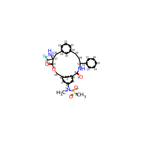 CN(c1cc2cc(c1)C(=O)NC(c1ccccc1)CCc1cccc(c1)CC(N)(CF)C(=O)OC2)S(C)(=O)=O